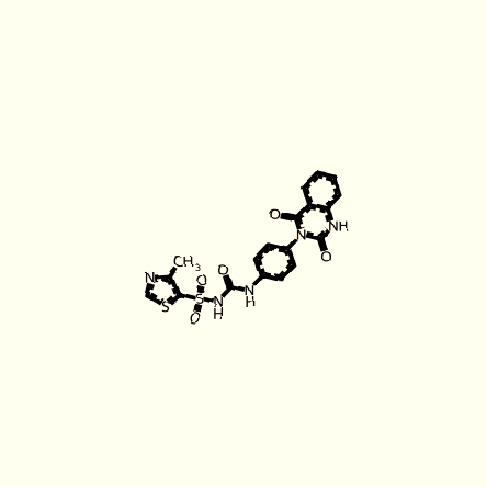 Cc1ncsc1S(=O)(=O)NC(=O)Nc1ccc(-n2c(=O)[nH]c3ccccc3c2=O)cc1